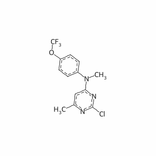 Cc1cc(N(C)c2ccc(OC(F)(F)F)cc2)nc(Cl)n1